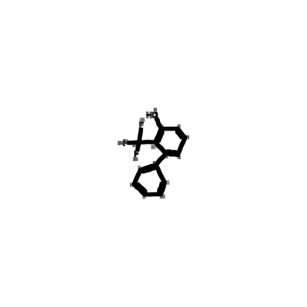 Oc1cccc(-c2ccccc2)c1C(F)(F)F